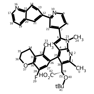 Cc1nc2c(cc(-c3ccnc(-c4ccc5ncccc5c4)c3)n2C)c(-c2cc(F)c3c(c2C)CCCO3)c1[C@H](OC(C)(C)C)C(=O)O